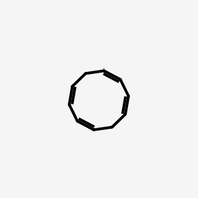 [C]1=CC=CCC=CC=CC1